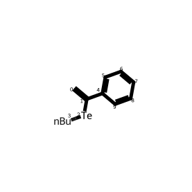 C=C([Te]CCCC)c1ccccc1